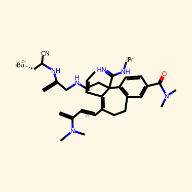 C=C(CNCCC1(C(=N)NC(C)C)C(/C=C\C)=C(/C=C/C(=C)N(C)C)CCc2cc(C(=O)N(C)C)ccc21)NC(C#N)C[C@@H](C)CC